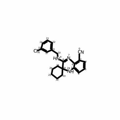 N#Cc1cccc2c1N=C(NCc1cccc(Cl)c1)C1(CCCCC1)N2